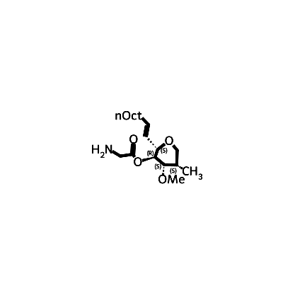 CCCCCCCCC=C[C@@H]1OC[C@H](C)[C@H](OC)[C@H]1OC(=O)CN